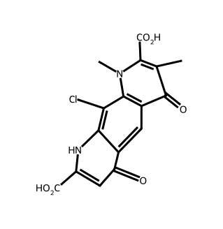 Cc1c(C(=O)O)n(C)c2c(Cl)c3[nH]c(C(=O)O)cc(=O)c3cc2c1=O